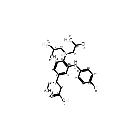 CC[C@@H](CC(=O)O)c1ccc(N(CC(C)C)CC(C)C)c(Nc2ccc(Cl)cc2)c1